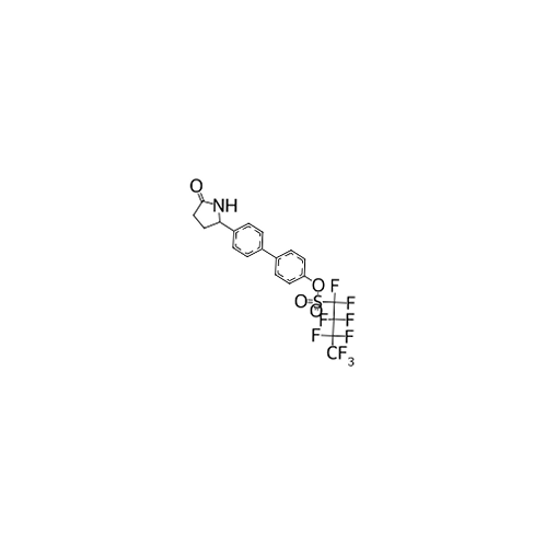 O=C1CCC(c2ccc(-c3ccc(OS(=O)(=O)C(F)(F)C(F)(F)C(F)(F)C(F)(F)F)cc3)cc2)N1